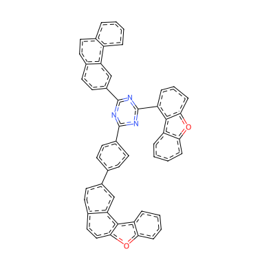 c1ccc2c(c1)ccc1ccc(-c3nc(-c4ccc(-c5ccc6ccc7oc8ccccc8c7c6c5)cc4)nc(-c4cccc5oc6ccccc6c45)n3)cc12